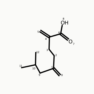 C=C(CCC(=C)C(=O)O)CC(C)C